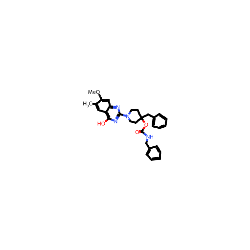 COc1cc2nc(N3CCC(Cc4ccccc4)(OC(=O)NCc4ccccc4)CC3)nc(O)c2cc1C